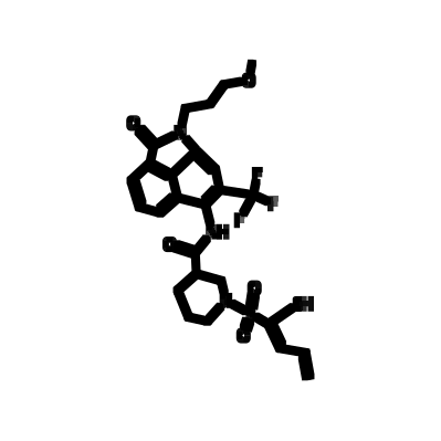 C=C/C=C(\S)S(=O)(=O)N1CCCC(C(=O)Nc2c(C(F)(F)F)cc3c4c(cccc24)C(=O)N3CCCOC)C1